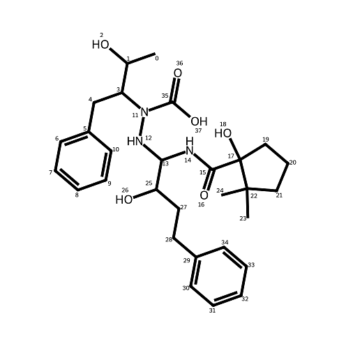 CC(O)C(Cc1ccccc1)N(NC(NC(=O)C1(O)CCCC1(C)C)C(O)CCc1ccccc1)C(=O)O